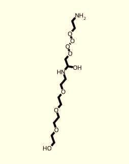 NCCOOOOCC(O)NCCOCCOCCOCCO